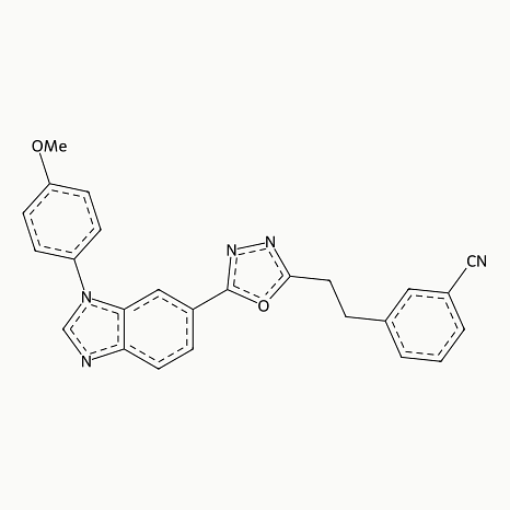 COc1ccc(-n2cnc3ccc(-c4nnc(CCc5cccc(C#N)c5)o4)cc32)cc1